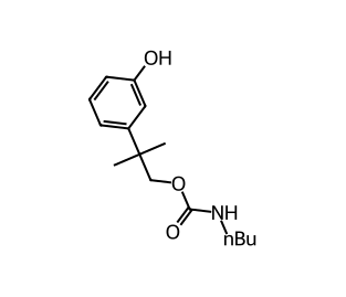 CCCCNC(=O)OCC(C)(C)c1cccc(O)c1